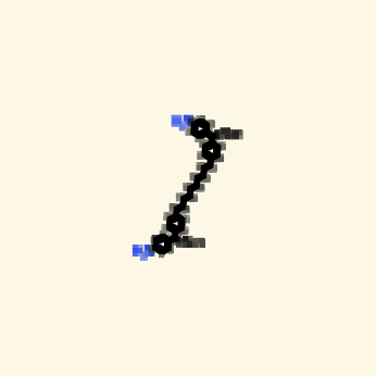 CCCCCCCCCC(c1ccc(N)cc1)c1ccc(CCCCCCCCCCc2ccc(C(CCCCCCCCC)c3ccc(N)cc3)cc2)cc1